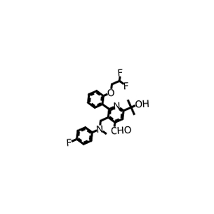 CN(Cc1c(C=O)cc(C(C)(C)O)nc1-c1ccccc1OCC(F)F)c1ccc(F)cc1